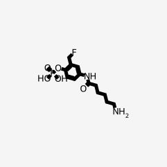 NCCCCCC(=O)Nc1ccc(OP(=O)(O)O)c(CF)c1